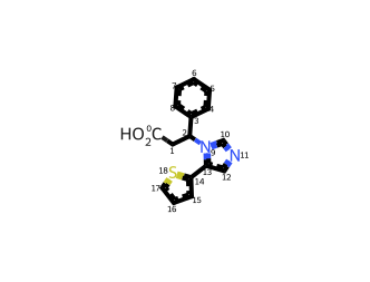 O=C(O)CC(c1ccccc1)n1cncc1-c1cccs1